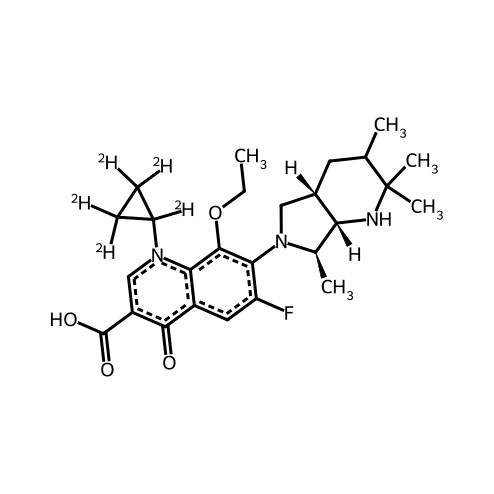 [2H]C1([2H])C([2H])([2H])C1([2H])n1cc(C(=O)O)c(=O)c2cc(F)c(N3C[C@@H]4CC(C)C(C)(C)N[C@@H]4[C@H]3C)c(OCC)c21